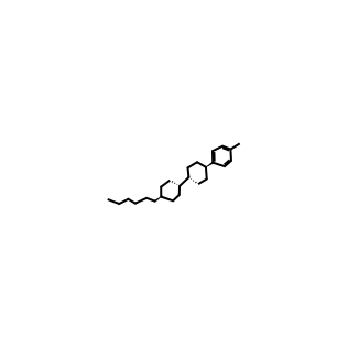 CCCCCC[C@H]1CC[C@H]([C@H]2CC[C@H](c3ccc(C)cc3)CC2)CC1